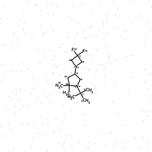 CC(C)(C)N1CC(N2CC(F)(F)C2)CC1(C)C